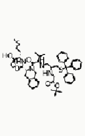 CSCC[C@H](NC(=O)[C@H]1Cc2ccccc2CN1C(=O)[C@@H](NCC(CSC(c1ccccc1)(c1ccccc1)c1ccccc1)NCC(=O)OC(C)(C)C)C(C)C)C(=O)O